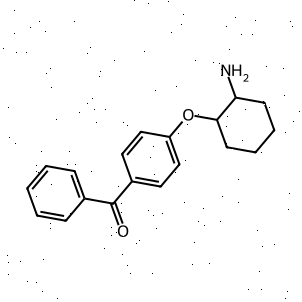 NC1CCCCC1Oc1ccc(C(=O)c2ccccc2)cc1